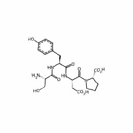 N[C@@H](CO)C(=O)N[C@@H](Cc1ccc(O)cc1)C(=O)N[C@@H](CC(=O)O)C(=O)N1CCC[C@H]1C(=O)O